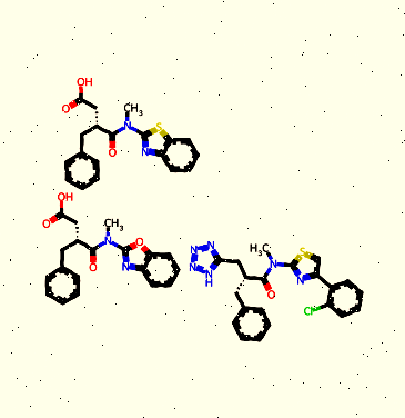 CN(C(=O)[C@@H](CC(=O)O)Cc1ccccc1)c1nc2ccccc2o1.CN(C(=O)[C@@H](CC(=O)O)Cc1ccccc1)c1nc2ccccc2s1.CN(C(=O)[C@H](Cc1ccccc1)Cc1nnn[nH]1)c1nc(-c2ccccc2Cl)cs1